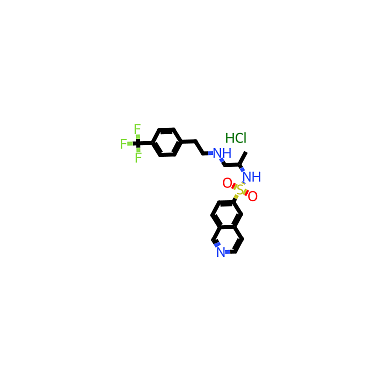 CC(CNCCc1ccc(C(F)(F)F)cc1)NS(=O)(=O)c1ccc2cnccc2c1.Cl